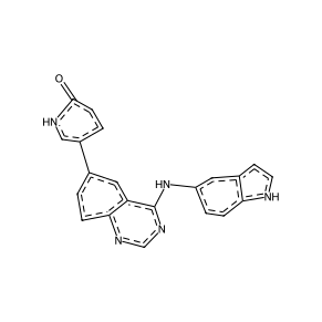 O=c1ccc(-c2ccc3ncnc(Nc4ccc5[nH]ccc5c4)c3c2)c[nH]1